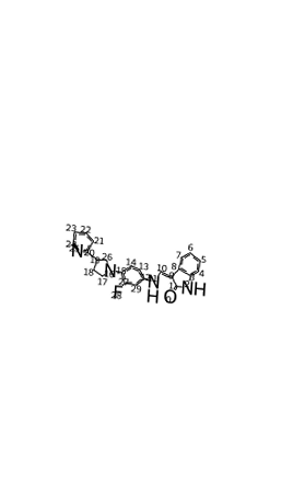 O=C1Nc2ccccc2C1=CNc1ccc(N2CCC(c3ccccn3)C2)c(F)c1